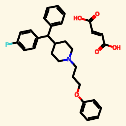 Fc1ccc(C(c2ccccc2)C2CCN(CCCOc3ccccc3)CC2)cc1.O=C(O)C=CC(=O)O